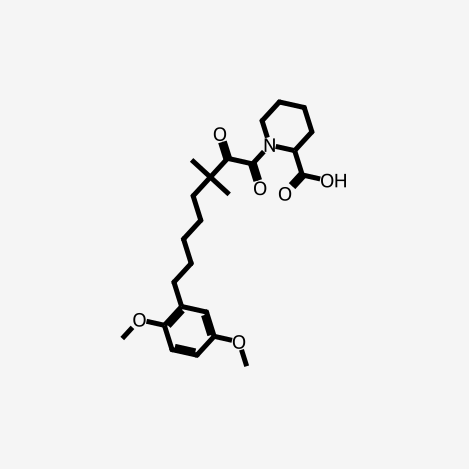 COc1ccc(OC)c(CCCCCC(C)(C)C(=O)C(=O)N2CCCCC2C(=O)O)c1